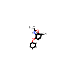 Cc1nc2c(OC3CCCCC3)ccc(C#N)c2o1